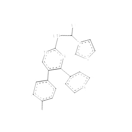 CCC(Nc1ncc(-c2ccc(F)cc2)c(-c2ccncc2)n1)n1ccnc1